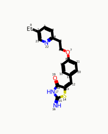 CCc1ccc(CCOc2ccc(C=C3SC(=N)NC3=O)cc2)nc1